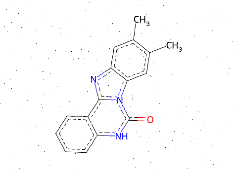 Cc1cc2nc3c4ccccc4[nH]c(=O)n3c2cc1C